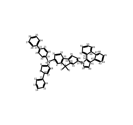 CC1(C)c2cc(N(C3=CCC(c4ccccc4)C=C3)c3ccc(-c4ccccc4)cc3)ccc2-c2ccc(-n3ccc4c5ccccc5c5ccccc5c43)cc21